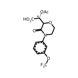 CC(=O)O[C@@H](C(=O)O)C1OCCN(c2cccc(OC(F)(F)F)c2)C1=O